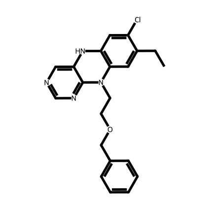 CCc1cc2c(cc1Cl)Nc1cncnc1N2CCOCc1ccccc1